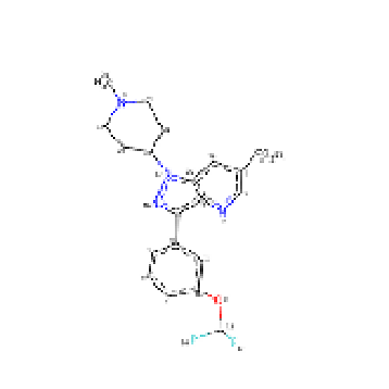 CCOC(=O)c1cnc2c(-c3cccc(OC(F)F)c3)nn(C3CCN(C)CC3)c2c1